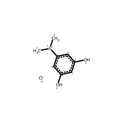 C[S+](C)c1cc(O)cc(O)c1.[Cl-]